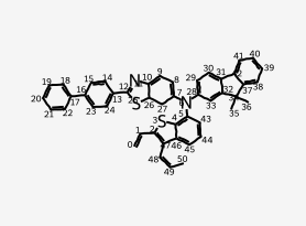 C=Cc1sc2c(N(C3=CC=C4N=C(c5ccc(-c6ccccc6)cc5)SC4C3)c3ccc4c(c3)C(C)(C)c3ccccc3-4)cccc2c1/C=C\C